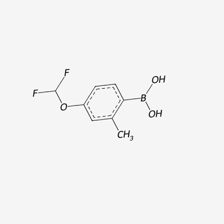 Cc1cc(OC(F)F)ccc1B(O)O